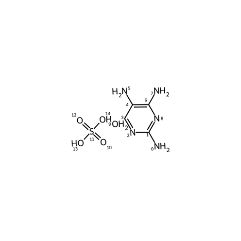 Nc1ncc(N)c(N)n1.O.O=S(=O)(O)O